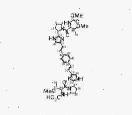 COC(=O)N[C@H](C(=O)N1CCC[C@H]1c1nc(/C=C/c2ccc(/C=C/c3c[nH]c([C@@H]4CCCN4C(=O)[C@@H](NC(=O)O)[C@@H](C)OC)n3)cc2)c[nH]1)C(C)OC